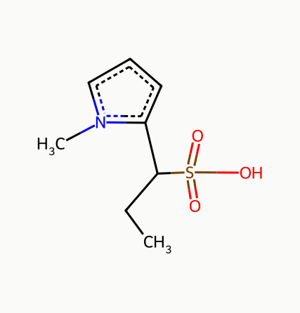 CCC(c1cccn1C)S(=O)(=O)O